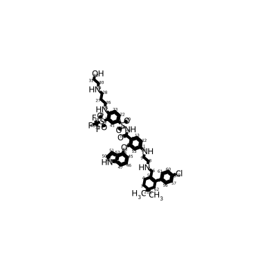 CC1(C)CCC(CNCCNc2ccc(C(=O)NS(=O)(=O)c3ccc(NCCCNCCO)c(S(=O)(=O)C(F)(F)F)c3)c(Oc3cccc4[nH]ccc34)c2)=C(c2ccc(Cl)cc2)C1